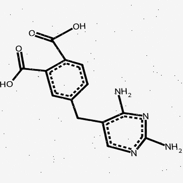 Nc1ncc(Cc2ccc(C(=O)O)c(C(=O)O)c2)c(N)n1